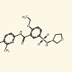 CCOc1ccc(S(=O)(=O)N[C@H]2CCOC2)cc1C(=O)Nc1ccc(F)c(C)n1